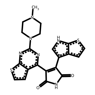 CN1CCN(c2nc(C3=C(c4c[nH]c5sccc45)C(=O)NC3=O)c3ccsc3n2)CC1